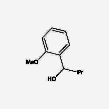 COc1ccccc1C(O)C(C)C